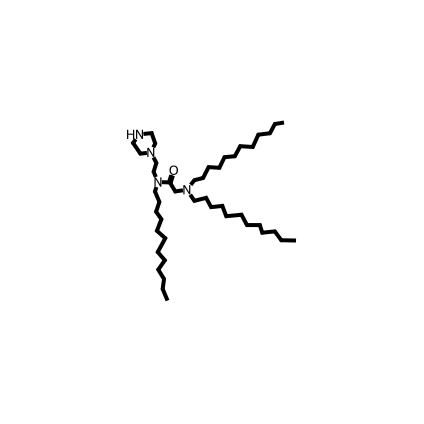 CCCCCCCCCCCCN(CCCCCCCCCCCC)CC(=O)N(CCCCCCCCCCCC)CCN1CCNCC1